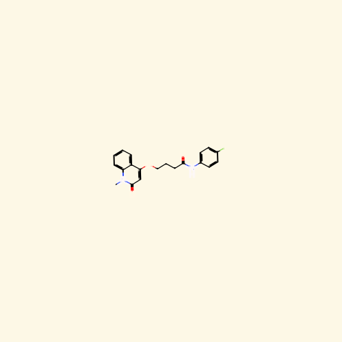 Cn1c(=O)cc(OCCCC(=O)Nc2ccc(F)cc2)c2ccccc21